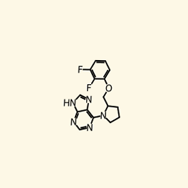 Fc1cccc(OCC2CCCN2c2ncnc3[nH]cnc23)c1F